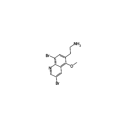 COc1c(CCN)cc(Br)c2ncc(Br)cc12